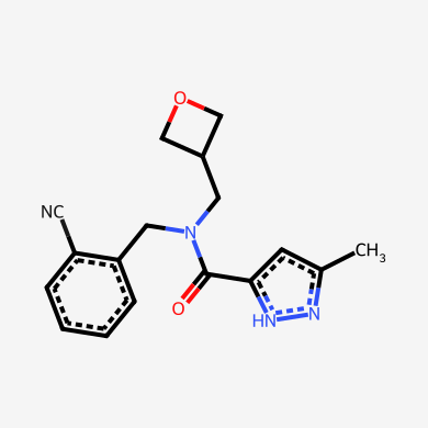 Cc1cc(C(=O)N(Cc2ccccc2C#N)CC2COC2)[nH]n1